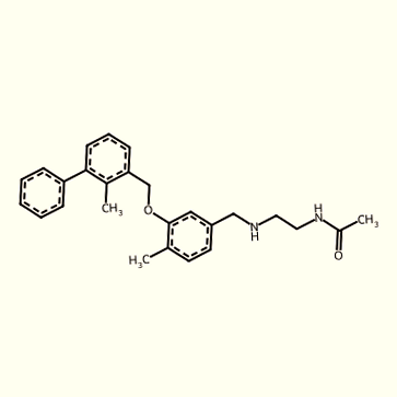 CC(=O)NCCNCc1ccc(C)c(OCc2cccc(-c3ccccc3)c2C)c1